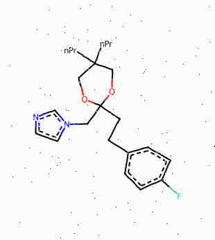 CCCC1(CCC)COC(CCc2ccc(F)cc2)(Cn2ccnc2)OC1